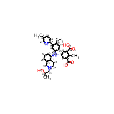 Cc1c(C(=O)O)cccc1C(=O)O.Cc1ccc(-c2cc(Nc3cccc4c3CCN(CC(C)O)C4)ccc2C)nc1